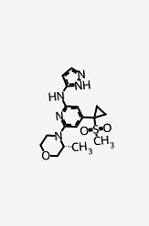 C[C@@H]1COCCN1c1cc(C2(S(C)(=O)=O)CC2)cc(Nc2ccn[nH]2)n1